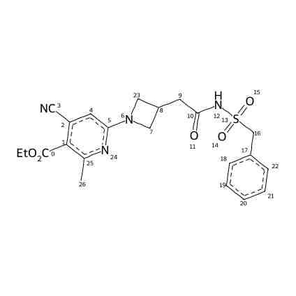 CCOC(=O)c1c(C#N)cc(N2CC(CC(=O)NS(=O)(=O)Cc3ccccc3)C2)nc1C